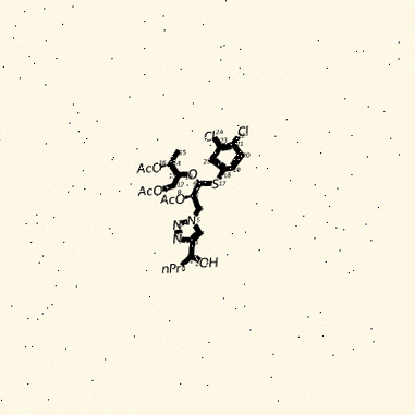 CCCC(O)c1cn(C[C@@H](OC(C)=O)[C@H](OC(COC(C)=O)[C@@H](C)OC(C)=O)Sc2ccc(Cl)c(Cl)c2)nn1